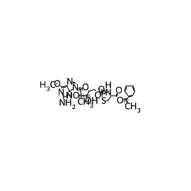 COc1nc(N)nc2c1ncn2[C@@H]1OC(CO[P@]2(=O)NC(C(=O)O[C@H](C)c3ccccc3)CS2)[C@@H](O)[C@@]1(C)O